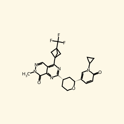 Cn1ncc2c(C34CC(C(F)(F)F)(C3)C4)nc([C@H]3CCO[C@@H](c4ccc(=O)n(C5CC5)c4)C3)nc2c1=O